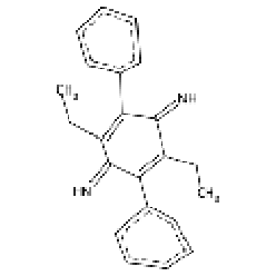 CCC1=C(c2ccccc2)C(=N)C(CC)=C(c2ccccc2)C1=N